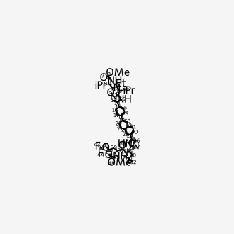 CCN(C(=O)[C@@H](NC(=O)OC)C(C)C)[C@H](c1ncc(-c2ccc(-c3ccc4cc(-c5cnc([C@@H]6CC7(CC7)CN6C(=O)[C@H](CCOC(F)F)NC(=O)OC)[nH]5)ccc4c3)cc2)[nH]1)C(C)C